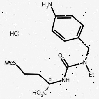 CCN(Cc1ccc(N)cc1)C(=O)N[C@@H](CCSC)C(=O)O.Cl